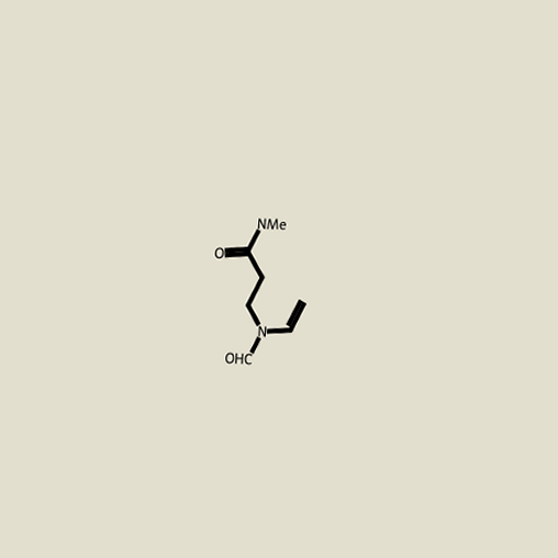 C=CN(C=O)CCC(=O)NC